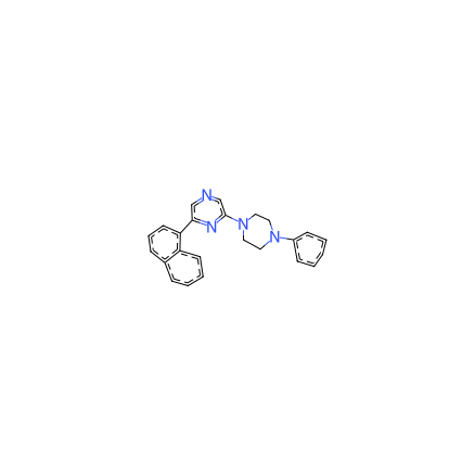 c1ccc(N2CCN(c3cncc(-c4cccc5ccccc45)n3)CC2)cc1